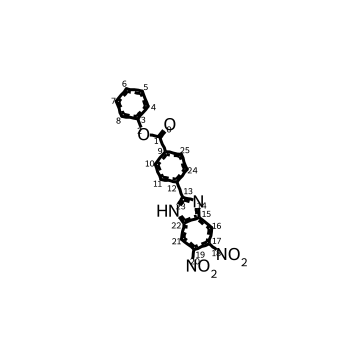 O=C(Oc1ccccc1)c1ccc(-c2nc3cc([N+](=O)[O-])c([N+](=O)[O-])cc3[nH]2)cc1